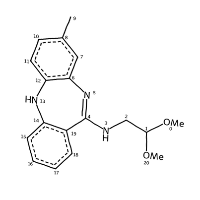 COC(CNC1=Nc2cc(C)ccc2Nc2ccccc21)OC